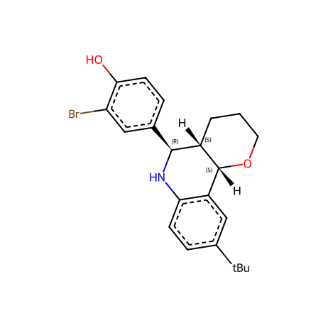 CC(C)(C)c1ccc2c(c1)[C@H]1OCCC[C@H]1[C@H](c1ccc(O)c(Br)c1)N2